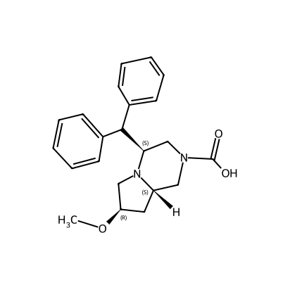 CO[C@@H]1C[C@H]2CN(C(=O)O)C[C@H](C(c3ccccc3)c3ccccc3)N2C1